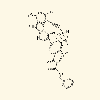 CNc1cc(F)c(C#N)c2c1[nH]c1ncc(-c3cnc4c(c3)c(=O)c(C(=O)OCc3ccccc3)cn4C)c(N3CC[C@H]4CN(C)C[C@H]43)c12